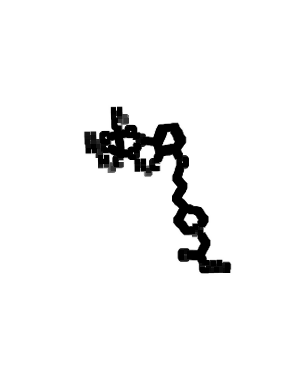 COC(=O)CN1CCC(CCCOc2cccc(B3OC(C)(C)C(C)(C)O3)c2C)CC1